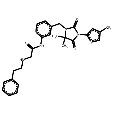 CC1(C)C(=O)N(c2cc(C(F)(F)F)cs2)C(=O)N1Cc1ccnc(NC(=O)CNCCc2ccccc2)c1